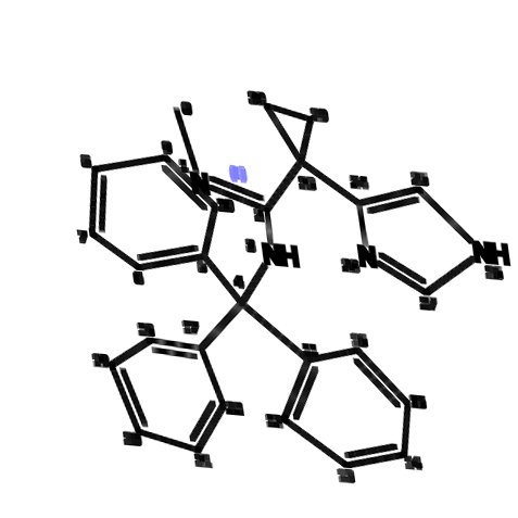 C/N=C(/NC(c1ccccc1)(c1ccccc1)c1ccccc1)C1(c2c[nH]cn2)CC1